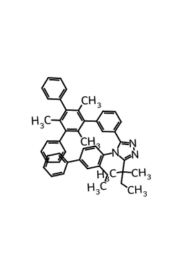 CCc1cc(-c2ccccc2)ccc1-n1c(-c2cccc(-c3c(C)c(-c4ccccc4)c(C)c(-c4ccccc4)c3C)c2)nnc1C(C)(C)CC